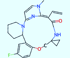 C=C/C1=C2/N=C(C=CN2C)N2CCCCC2c2cc(F)ccc2OCC2(CC2)NC1=O